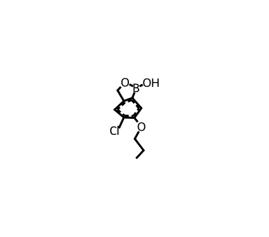 CCCOc1cc2c(cc1Cl)COB2O